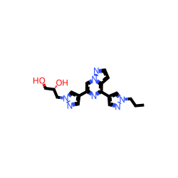 CCCn1cc(-c2nc(-c3cnn(C[C@@H](O)CO)c3)cn3nccc23)cn1